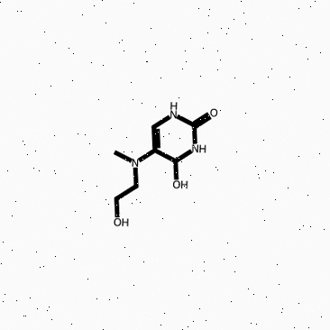 CN(CCO)C1=CNC(=O)NC1O